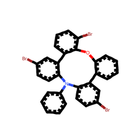 Brc1ccc2c(c1)-c1ccccc1Oc1c(Br)cccc1-c1cc(Br)ccc1N2c1ccccc1